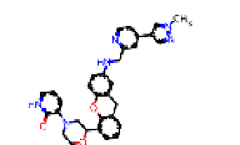 Cn1cc(-c2ccnc(CNc3ccc4c(c3)Cc3cccc(C5CN(c6ccc[nH]c6=O)CCO5)c3O4)c2)cn1